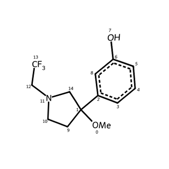 COC1(c2cccc(O)c2)CCN(CC(F)(F)F)C1